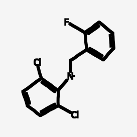 Fc1ccccc1C[N]c1c(Cl)cccc1Cl